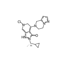 C[C@@H](C1CC1)n1[nH]c2c(c1=O)=C(N1CCn3nccc3C1)CN(Cl)C=2